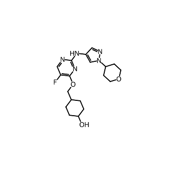 OC1CCC(COc2nc(Nc3cnn(C4CCOCC4)c3)ncc2F)CC1